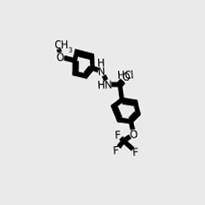 COc1ccc(NNC(=O)c2ccc(OC(F)(F)F)cc2)cc1.Cl